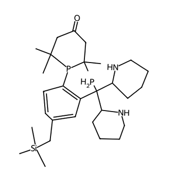 CC1(C)CC(=O)CC(C)(C)P1c1ccc(C[Si](C)(C)C)cc1C(P)(C1CCCCN1)C1CCCCN1